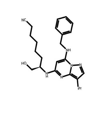 CC(C)c1cnn2c(NCc3ccccc3)cc(N[C@@H](CO)CCCCCC#N)nc12